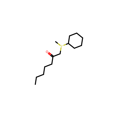 CCCCCC(=O)C[S+](C)C1CCCCC1